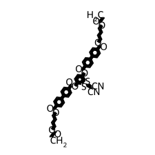 C=CC(=O)OCCCCOC(=O)C1CCC(C2CCC(C(=O)Oc3ccc(OC(=O)C4CCC(C5CCC(C(=O)OCCCCOC(=O)C=C)CC5)CC4)c4c3SC(=C(C#N)C#N)S4)CC2)CC1